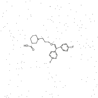 O=C(O)[C@@H]1CCCN(CCCOC=C(c2ccc(F)cc2)c2ccc(F)cc2)C1